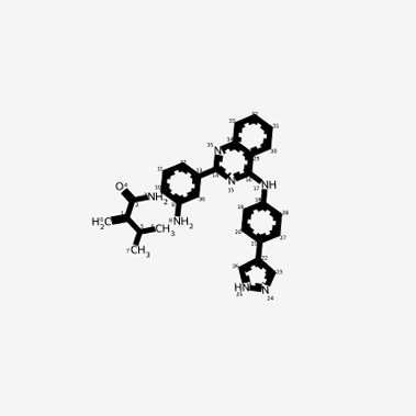 C=C(C(N)=O)C(C)C.Nc1cccc(-c2nc(Nc3ccc(-c4cn[nH]c4)cc3)c3ccccc3n2)c1